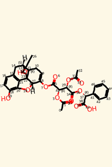 CC(=O)O[C@@H](C(=O)OC1=CC[C@@]2(O)[C@H]3Cc4ccc(O)c5c4C2(CCC3C)[C@H]1O5)[C@@H](OC(C)=O)C(=O)O[C@@H](C(=O)O)c1ccccc1